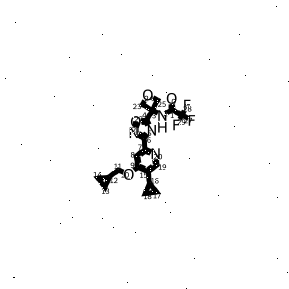 O=C(NC1(c2nc(-c3cc(OCC4CC4)c(C4CC4)cn3)no2)COC1)C(F)(F)F